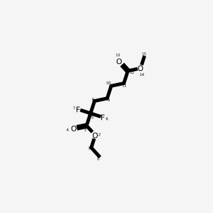 CCOC(=O)C(F)(F)CCCCC(=O)OC